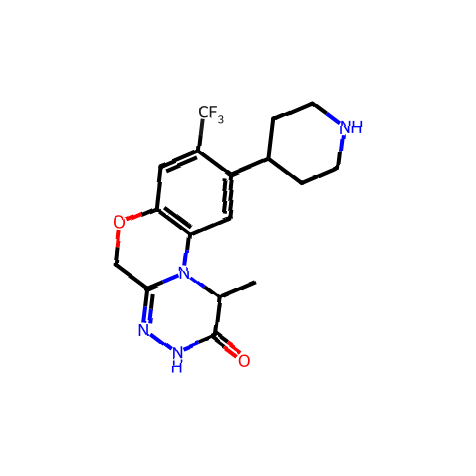 CC1C(=O)NN=C2COc3cc(C(F)(F)F)c(C4CCNCC4)cc3N21